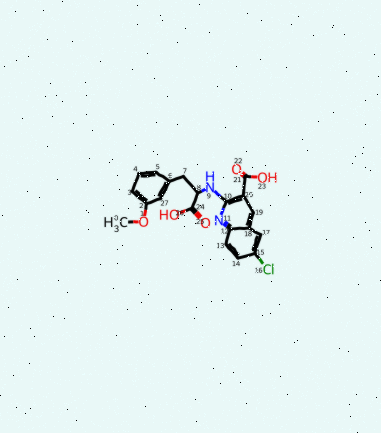 COc1cccc(CC(Nc2nc3ccc(Cl)cc3cc2C(=O)O)C(=O)O)c1